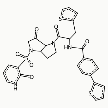 O=C(NC(Cc1cccs1)C(=O)N1CCC2C1C(=O)CN2S(=O)(=O)c1ccc[nH]c1=O)c1ccc(-c2cccs2)cc1